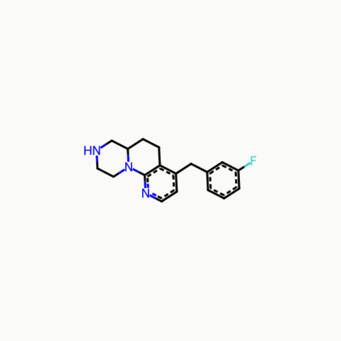 Fc1cccc(Cc2ccnc3c2CCC2CNCCN32)c1